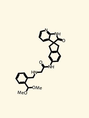 COC(OC)c1ccccc1CNCC(=O)Nc1ccc2c(c1)CC1(C2)C(=O)Nc2ncccc21